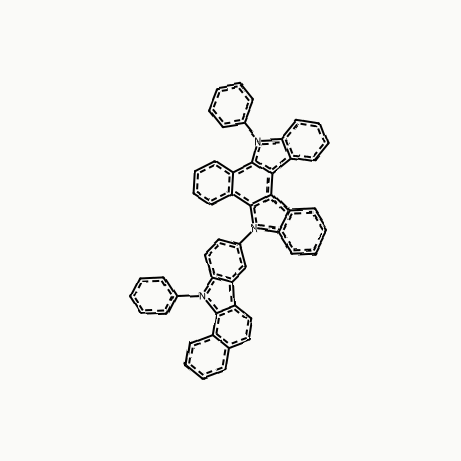 c1ccc(-n2c3ccc(-n4c5ccccc5c5c6c7ccccc7n(-c7ccccc7)c6c6ccccc6c54)cc3c3ccc4ccccc4c32)cc1